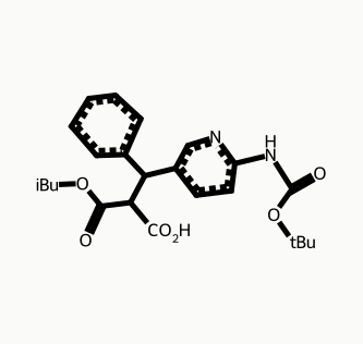 CCC(C)OC(=O)C(C(=O)O)C(c1ccccc1)c1ccc(NC(=O)OC(C)(C)C)nc1